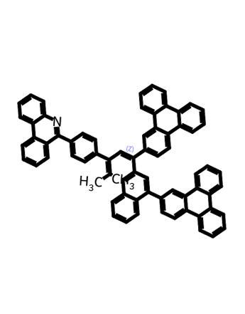 CC(C)=C(/C=C(\c1cc(-c2ccc3c4ccccc4c4ccccc4c3c2)c2ccccc2c1)c1ccc2c3ccccc3c3ccccc3c2c1)c1ccc(-c2nc3ccccc3c3ccccc23)cc1